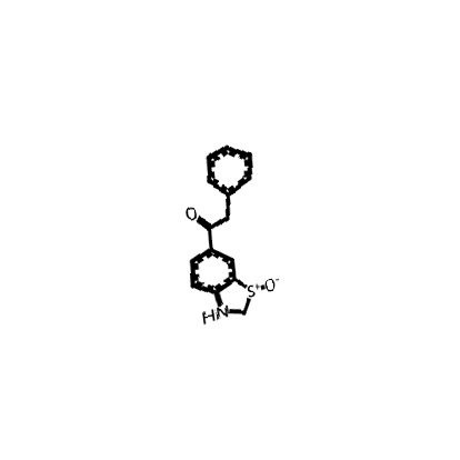 O=C(Cc1ccccc1)c1ccc2c(c1)[S+]([O-])CN2